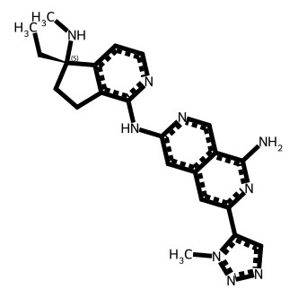 CC[C@]1(NC)CCc2c1ccnc2Nc1cc2cc(-c3cnnn3C)nc(N)c2cn1